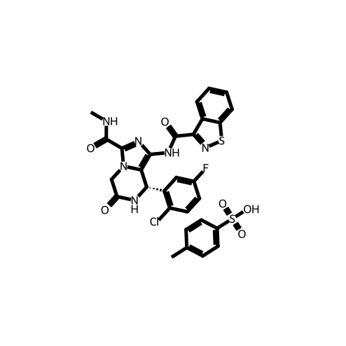 CNC(=O)c1nc(NC(=O)c2nsc3ccccc23)c2n1CC(=O)N[C@H]2c1cc(F)ccc1Cl.Cc1ccc(S(=O)(=O)O)cc1